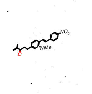 C=C(C)C(=O)CCc1ccc(C=Cc2ccc([N+](=O)[O-])cc2)c(NC)c1